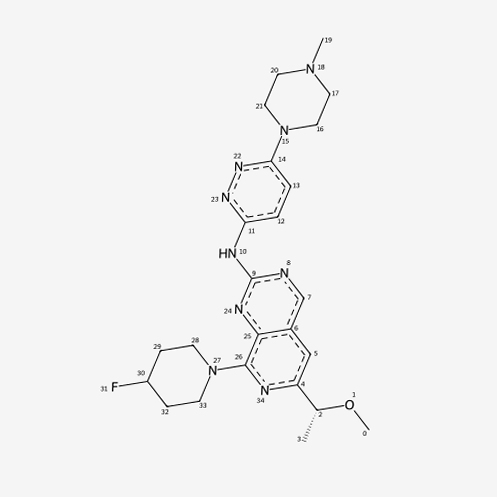 CO[C@H](C)c1cc2cnc(Nc3ccc(N4CCN(C)CC4)nn3)nc2c(N2CCC(F)CC2)n1